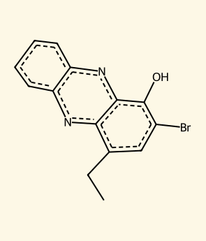 CCc1cc(Br)c(O)c2nc3ccccc3nc12